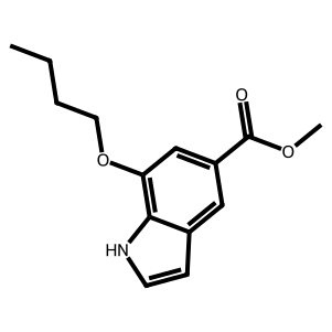 CCCCOc1cc(C(=O)OC)cc2cc[nH]c12